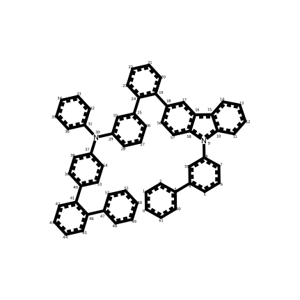 c1ccc(-c2cccc(-n3c4ccccc4c4cc(-c5ccccc5-c5cccc(N(c6ccccc6)c6ccc(-c7ccccc7-c7ccccc7)cc6)c5)ccc43)c2)cc1